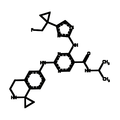 CC(C)NC(=O)c1cnc(Nc2ccc3c(c2)CCNC32CC2)nc1Nc1nc(C2(CF)CC2)cs1